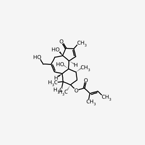 C/C=C(\C)C(=O)O[C@]1(C)C[C@@H](C)[C@@]2(O)[C@@H](C=C(CO)C[C@]3(O)C(=O)C(C)=C[C@@H]23)C1(C)C